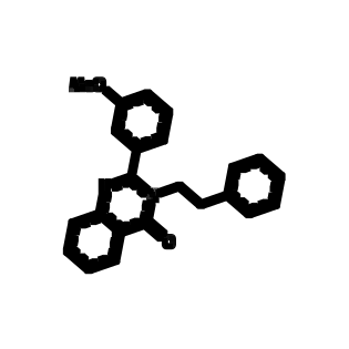 COc1cccc(-c2nc3ccccc3c(=O)n2CCc2ccccc2)c1